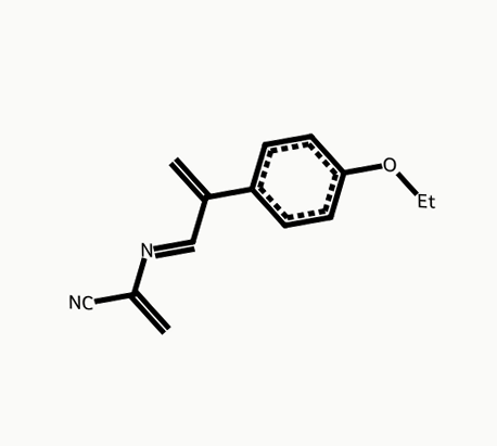 C=C(C#N)/N=C/C(=C)c1ccc(OCC)cc1